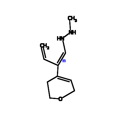 C=C/C(=C\NNC)C1=CCOCC1